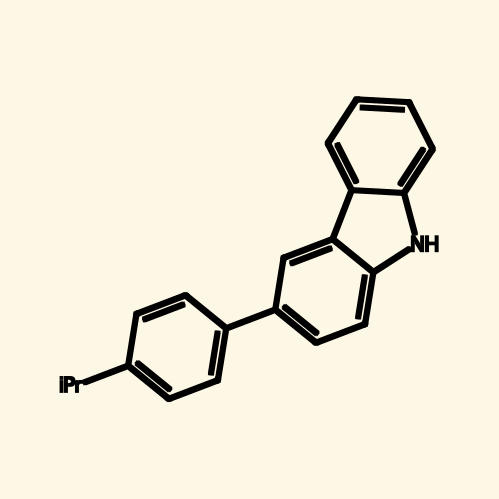 CC(C)c1ccc(-c2ccc3[nH]c4ccccc4c3c2)cc1